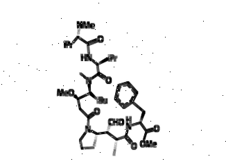 CC[C@H](C)[C@@H]([C@@H](CC(=O)N1CCC[C@H]1[C@H](C=O)[C@@H](C)C(=O)N[C@@H](Cc1ccccc1)C(=O)OC)OC)N(C)C(=O)[C@@H](NC(=O)[C@@H](NC)C(C)C)C(C)C